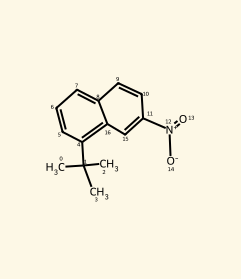 CC(C)(C)c1cccc2ccc([N+](=O)[O-])cc12